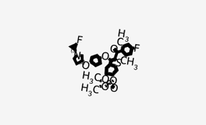 CCOP(=O)(OCC)Oc1ccc2c(Oc3ccc(O[C@H]4CCN([C@H]5CC5F)C4)cc3)c(C(=O)c3c(C)cc(F)cc3C)sc2c1